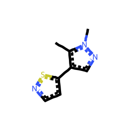 Cc1c(-c2ccns2)cnn1C